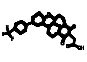 O=C(O)Cn1c(=O)c2ccc3oc4ccc(-c5ccc(C(F)(F)F)cc5)cc4c4ccc(c1=O)c2c34